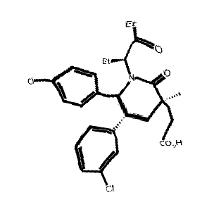 CCC(=O)[C@H](CC)N1C(=O)[C@@](C)(CC(=O)O)C[C@H](c2cccc(Cl)c2)C1c1ccc(Cl)cc1